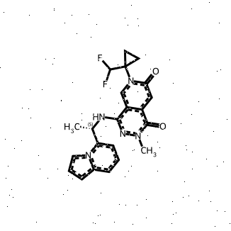 C[C@H](Nc1nn(C)c(=O)c2cc(=O)n(C3(C(F)F)CC3)cc12)c1cccc2cccn12